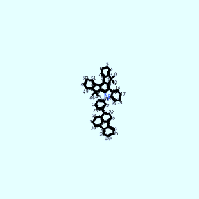 CC1(C)c2ccccc2-c2c3c(c4c(c21)c1ccccc1n4-c1cccc(-c2ccc4c5c(cccc25)-c2ccccc2-4)c1)C(C)(C)c1ccccc1-3